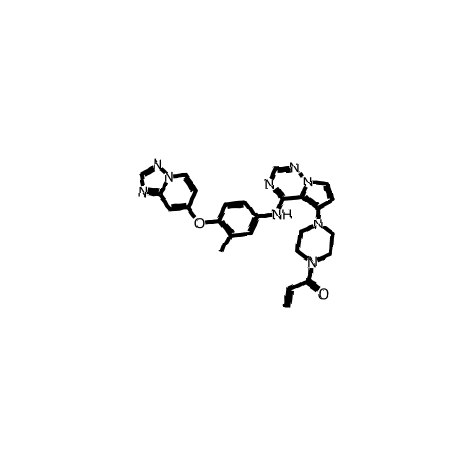 C=CC(=O)N1CCN(c2ccn3ncnc(Nc4ccc(Oc5ccn6ncnc6c5)c(C)c4)c23)CC1